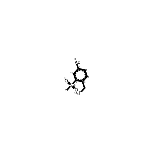 CC(=O)c1ccc(CF)c(S(C)(=O)=O)c1